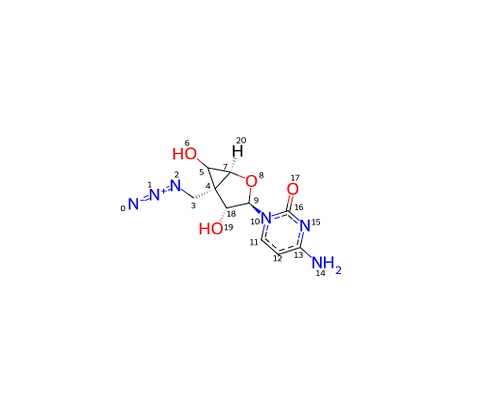 [N-]=[N+]=NC[C@]12C(O)[C@H]1O[C@@H](n1ccc(N)nc1=O)[C@@H]2O